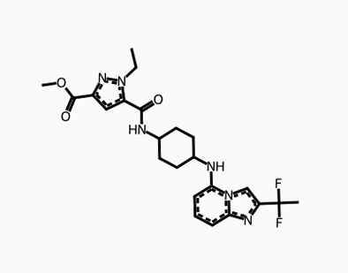 CCn1nc(C(=O)OC)cc1C(=O)NC1CCC(Nc2cccc3nc(C(C)(F)F)cn23)CC1